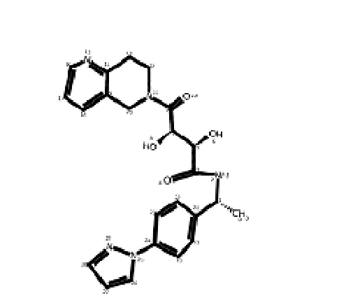 C[C@@H](NC(=O)[C@H](O)[C@@H](O)C(=O)N1CCc2ncccc2C1)c1ccc(-n2cccn2)cc1